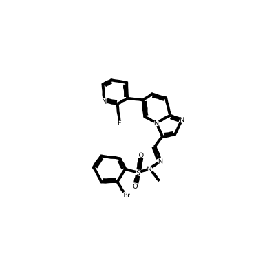 CN(/N=C/c1cnc2ccc(-c3cccnc3F)cn12)S(=O)(=O)c1ccccc1Br